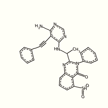 CC(Nc1ncnc(N)c1C#Cc1ccccc1)c1nc2cccc([SH](=O)=O)c2c(=O)n1-c1ccccc1